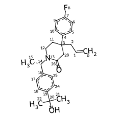 C=CCC1(c2ccc(F)cc2)CCN([C@@H](C)c2ccc(C(C)(C)O)cc2)C(=O)C1